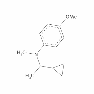 COc1ccc(N(C)C(C)C2CC2)cc1